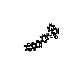 O=c1cnc2cnccc2n1CCN1CCC(NCc2ccc3c(c2)OCCO3)CC1